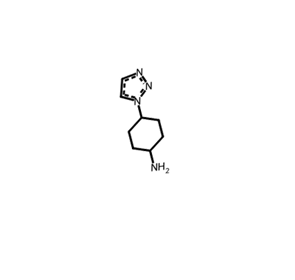 NC1CCC(n2ccnn2)CC1